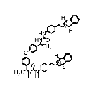 CC(NC(=O)NC1CCC(CCN2[C@@H]3CC[C@H]2c2ccccc23)CC1)c1ccc(Oc2ccc(C(C)NC(=O)NC3CCC(CCN4[C@@H]5CC[C@H]4c4ccccc45)CC3)cc2)cc1